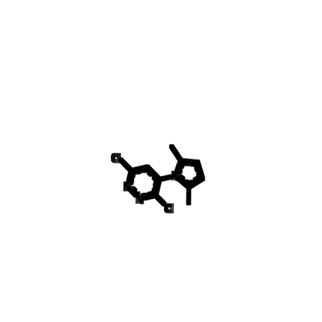 Cc1ccc(C)n1-c1cc(Cl)nnc1Cl